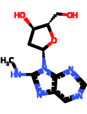 CNc1nc2cncnc2n1[C@H]1C[C@@H](O)[C@H](CO)O1